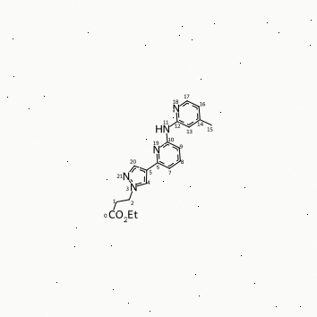 CCOC(=O)CCn1cc(-c2cccc(Nc3cc(C)ccn3)n2)cn1